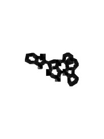 c1ccc(-n2cc(-c3nc4ccccc4s3)c3ncnc(-n4c5ccccc5c5ccccc54)c32)cc1